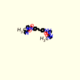 CC1C=CN=C1C(=O)N1CCC[C@H]1C(=O)Nc1ccc(/C=C/c2ccc(NC(=O)[C@@H]3CCCN3C(=O)c3nccn3C)cc2)cc1